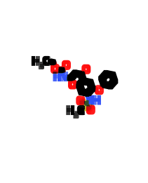 CCOC(=O)Nc1cc(=O)c2cc(Oc3ccccc3)c(NS(C)(=O)=O)cc2o1